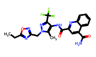 CCc1nc(Cn2nc(C(F)(F)F)c(NC(=O)c3cc(C(N)=O)c4ccccc4n3)c2C)no1